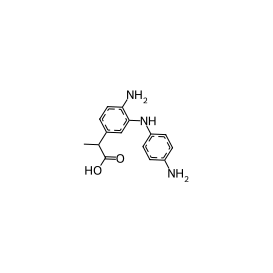 CC(C(=O)O)c1ccc(N)c(Nc2ccc(N)cc2)c1